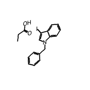 CCC(=O)O.Ic1cn(Cc2ccccc2)c2ccccc12